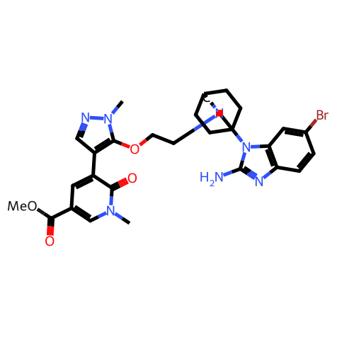 COC(=O)c1cc(-c2cnn(C)c2OCCN2CC3CCC(n4c(N)nc5ccc(Br)cc54)(CC3)C2)c(=O)n(C)c1